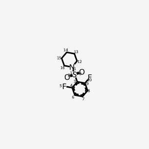 O=S(=O)(c1c(F)cccc1F)N1CCCCC1